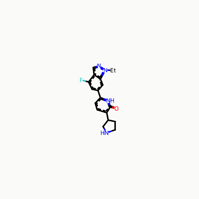 CCn1ncc2c(F)cc(-c3ccc(C4CCNC4)c(=O)[nH]3)cc21